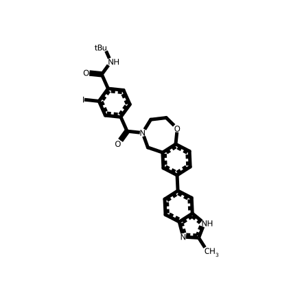 Cc1nc2ccc(-c3ccc4c(c3)CN(C(=O)c3ccc(C(=O)NC(C)(C)C)c(I)c3)CCO4)cc2[nH]1